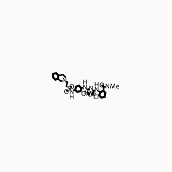 CNC(=O)c1ccccc1Nc1nc(Nc2ccc(NS(=O)(=O)CCN3CCc4ccccc4C3)cc2OC)ncc1Cl